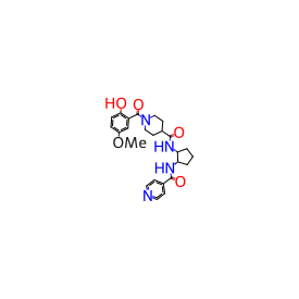 COc1ccc(O)c(C(=O)N2CCC(C(=O)NC3CCC[C@H]3NC(=O)c3ccncc3)CC2)c1